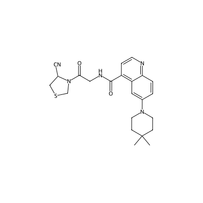 CC1(C)CCN(c2ccc3nccc(C(=O)NCC(=O)N4CSCC4C#N)c3c2)CC1